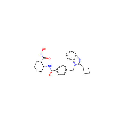 O=C(N[C@@H]1CCCC[C@@H]1C(=O)NO)c1ccc(Cn2c(C3CCC3)nc3ccccc32)cc1